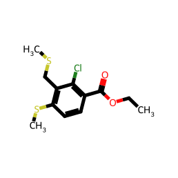 CCOC(=O)c1ccc(SC)c(CSC)c1Cl